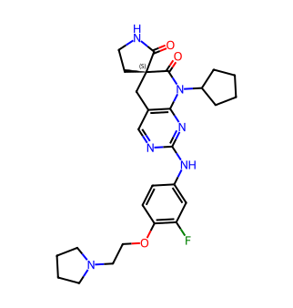 O=C1NCC[C@@]12Cc1cnc(Nc3ccc(OCCN4CCCC4)c(F)c3)nc1N(C1CCCC1)C2=O